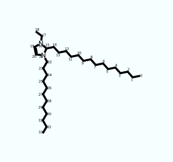 CCCCCCCCCCCCCCCC1N(CC)C=CN1CCCCCCCCCCCC